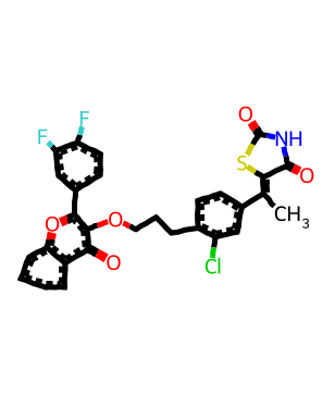 CC(=C1SC(=O)NC1=O)c1ccc(CCCOc2c(-c3ccc(F)c(F)c3)oc3ccccc3c2=O)c(Cl)c1